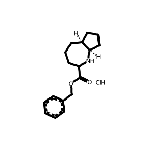 Cl.O=C(OCc1ccccc1)C1CCC[C@H]2CCC[C@H]2N1